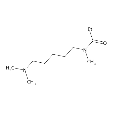 CCC(=O)N(C)CCCCCN(C)C